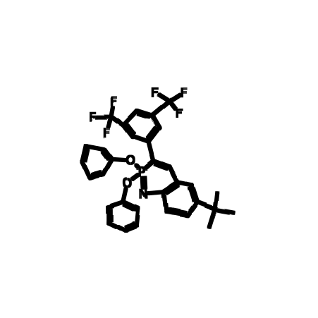 CC(C)(C)c1ccc2c(c1)C=C(c1cc(C(F)(F)F)cc(C(F)(F)F)c1)P(Oc1ccccc1)(Oc1ccccc1)=N2